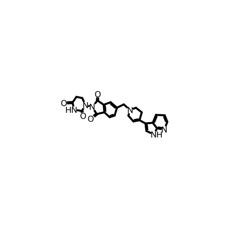 O=C1CCN(N2C(=O)c3ccc(CN4CC=C(c5c[nH]c6ncccc56)CC4)cc3C2=O)C(=O)N1